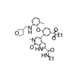 CCNC(=O)c1cc2c(-c3cc(S(=O)(=O)CC)ccc3Oc3c(C)cccc3NCC3CCOC3)cn(C)c(=O)c2[nH]1